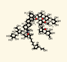 CC(=O)OC1C(C)OC(OC2C(C)OC(OC(=O)[C@]34CCC(C)(C)CC3C3=CCC5[C@@]6(C)CC[C@H](OC7OC(C(=O)O)C(O)C(OC8OCC(O)C(O)C8O)C7OC7OC(CO)C(O)C(O)C7O)[C@@](C)(/C=N/NC(=O)CCCCCN7C(=O)CC(SCCO)C7=O)C6CC[C@@]5(C)[C@]3(C)C[C@H]4O)C(OC3OC(C)C(OC4OCC(O)C(OC5OC(CO)C(O)C(O)C5O)C4O)C(O)C3O)C2O)C(O)C1OC1OCC(O)C(O)C1O